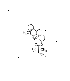 CCC(C)(C)C(=O)OC1CCC2CCC3C4CCCC[C@@]4(C)CCC3[C@@]2(C)C1